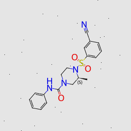 C[C@H]1CN(C(=O)Nc2ccccc2)CCN1S(=O)(=O)c1cccc(C#N)c1